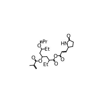 C=C(C)C(=O)OC(CC(CC)OCCC)CC(CC)C(=O)OC(=O)/C=C/C1CCC(=O)N1